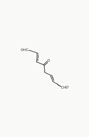 O=CC=CCC(=O)C=CC=O